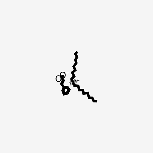 CCCCCCCCCC[N+](C)(C)CCCCCCCCCC.O=C([O-])C=Cc1ccccc1